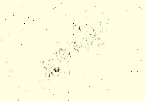 COC(=O)N[C@H](C(=O)N1[C@H](c2nc3cc(-c4cc5ccc4CCc4ccc(c(-c6ccc7c(c6)nc([C@@H]6C[C@@H]8CCCC[C@@H]8N6C(=O)[C@@H](NC(=O)OC)C(C)C)n7COP(=O)(O)O)c4)C[C@H]5C)ccc3n2COP(=N)(O)O)C[C@@H]2CCCC[C@@H]21)C(C)C